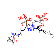 C=CC(=O)NCCCC(C(CCS(=O)(=O)O)NC(=O)C=C)S(=O)(=O)O